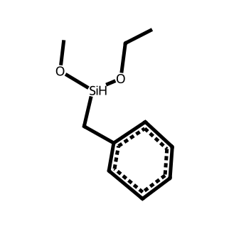 CCO[SiH](Cc1ccccc1)OC